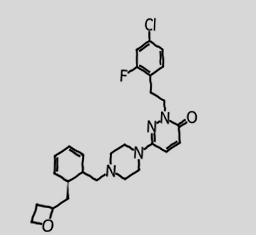 O=c1ccc(N2CCN(CC3C=CC=C[C@@H]3CC3CCO3)CC2)nn1CCc1ccc(Cl)cc1F